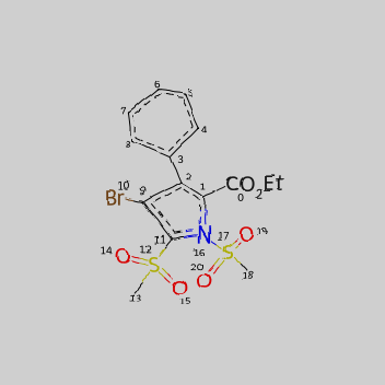 CCOC(=O)c1c(-c2ccccc2)c(Br)c(S(C)(=O)=O)n1S(C)(=O)=O